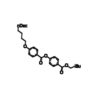 CCCCCCCCCCCCCCOc1ccc(C(=O)Oc2ccc(C(=O)OCC(C)CC)cc2)cc1